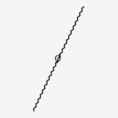 CCCCCCCCCCCCCCCCCCCCCC=COC=CCCCCCCCCCCCCCCCCCCCCC